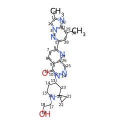 Cc1cn2nc(-c3ccc4c(=O)n(C5CCN(CCO)C6(CC6)C5)ncc4n3)cc(C)c2n1